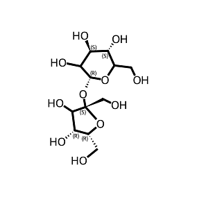 OCC1O[C@H](O[C@]2(CO)O[C@H](CO)[C@H](O)C2O)C(O)[C@@H](O)[C@@H]1O